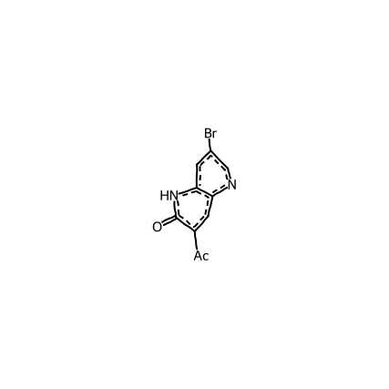 CC(=O)c1cc2ncc(Br)cc2[nH]c1=O